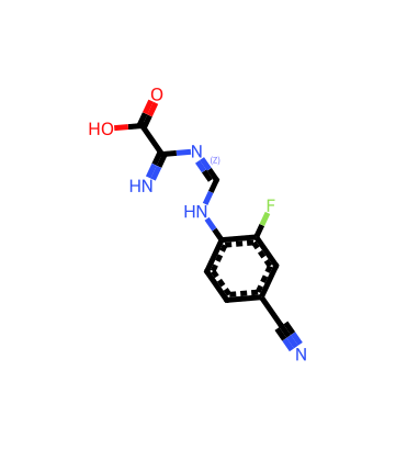 N#Cc1ccc(N/C=N\C(=N)C(=O)O)c(F)c1